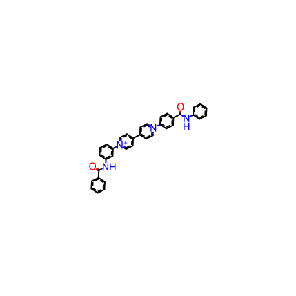 O=C(Nc1ccccc1)c1ccc(-[n+]2ccc(-c3cc[n+](-c4cccc(NC(=O)c5ccccc5)c4)cc3)cc2)cc1